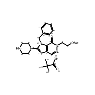 COCCn1ncc2nc(N3CCNCC3)n(Cc3ccccc3)c2c1=O.O=C(O)C(F)(F)F